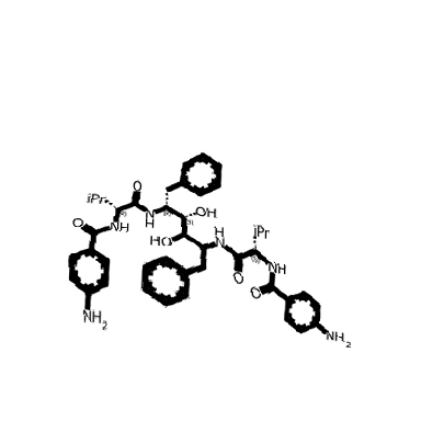 CC(C)[C@H](NC(=O)c1ccc(N)cc1)C(=O)NC(Cc1ccccc1)C(O)[C@@H](O)[C@@H](Cc1ccccc1)NC(=O)[C@H](NC(=O)c1ccc(N)cc1)C(C)C